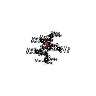 COc1cc(OC)c(C(=O)OOC(=O)OCCC(COC(=O)OOC(=O)c2cc(OC)c(OC)cc2OC)C(COC(=O)OOC(=O)c2cc(OC)c(OC)cc2OC)C(CCOC(=O)OOC(=O)c2cc(OC)c(OC)cc2OC)COC(=O)OOC(=O)c2cc(OC)c(OC)cc2OC)cc1OC